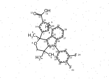 CC1(C)COC(C)(c2csc(C(=O)O)c2)c2c1n(-c1ccc(F)c(F)c1)c1cccc(O)c21